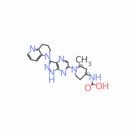 C[C@@H]1C[C@@H](NC(=O)O)CCN1c1cnc2c(N3CCCc4ncccc43)n[nH]c2n1